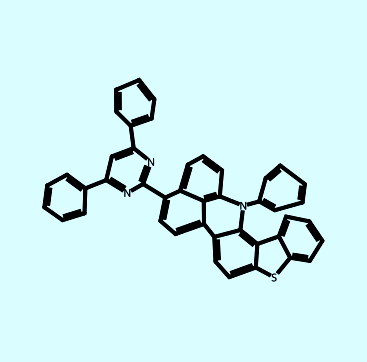 c1ccc(-c2cc(-c3ccccc3)nc(-c3ccc4c5c(cccc35)N(c3ccccc3)c3c-4ccc4sc5ccccc5c34)n2)cc1